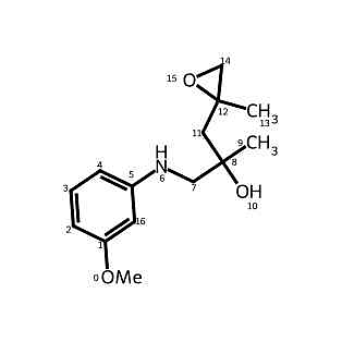 COc1cccc(NCC(C)(O)CC2(C)CO2)c1